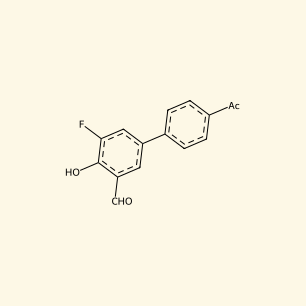 CC(=O)c1ccc(-c2cc(F)c(O)c(C=O)c2)cc1